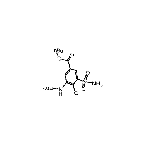 CCCCNc1cc(C(=O)OCCCC)cc(S(N)(=O)=O)c1Cl